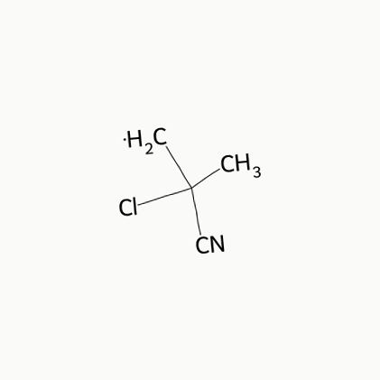 [CH2]C(C)(Cl)C#N